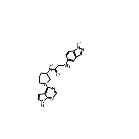 O=C(CNc1ccc2[nH]ncc2c1)N[C@@H]1CCCN(c2ncnc3[nH]ccc23)C1